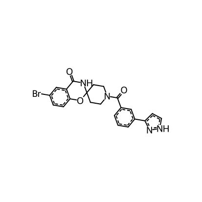 O=C1NC2(CCN(C(=O)c3cccc(-c4cc[nH]n4)c3)CC2)Oc2ccc(Br)cc21